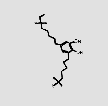 CCC(C)(C)CCCCCc1cc(O)c(O)c(CCCCCC(C)(C)I)c1